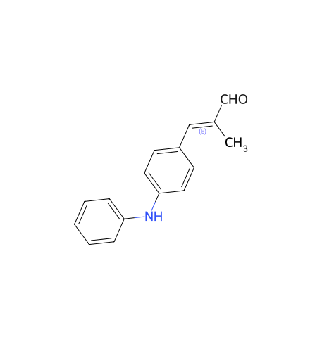 C/C(C=O)=C\c1ccc(Nc2ccccc2)cc1